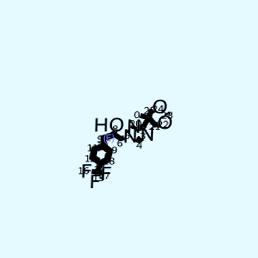 CC1(c2ncn(C/C(O)=C\c3ccc(C(F)(F)F)cc3)n2)COCOC1